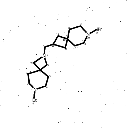 CCN1CCC2(CC1)CN(CC1CC3(CCN(C(C)C)CC3)C1)C2